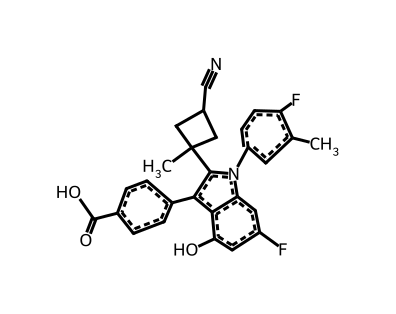 Cc1cc(-n2c(C3(C)CC(C#N)C3)c(-c3ccc(C(=O)O)cc3)c3c(O)cc(F)cc32)ccc1F